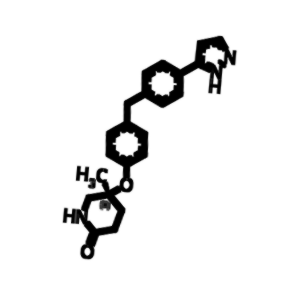 C[C@@]1(Oc2ccc(Cc3ccc(-c4ccn[nH]4)cc3)cc2)CCC(=O)NC1